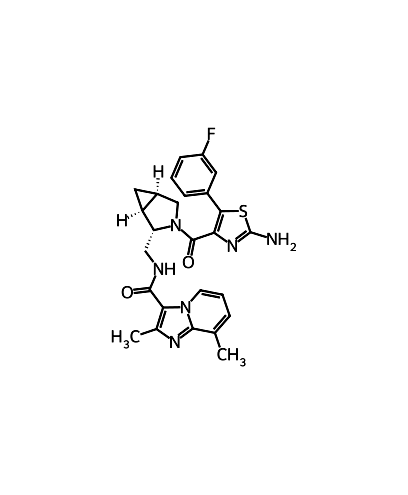 Cc1nc2c(C)cccn2c1C(=O)NC[C@@H]1[C@H]2C[C@H]2CN1C(=O)c1nc(N)sc1-c1cccc(F)c1